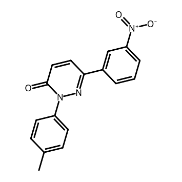 Cc1ccc(-n2nc(-c3cccc([N+](=O)[O-])c3)ccc2=O)cc1